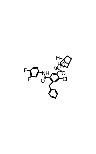 C[C@@]1(O)C2CC[C@H]1C[C@H](S(=O)(=O)c1cc(C(=O)Nc3ccc(F)c(F)c3)c(Cc3ccccc3)cc1Cl)C2